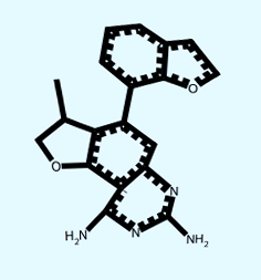 CC1COc2c1c(-c1cccc3ccoc13)cc1nc(N)nc(N)c21